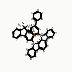 CC1(C)c2ccccc2-c2cc(-n3c4ccccc4c4ccc5c6ccccc6n(-c6cccc(-c7ccccc7)c6)c5c43)ccc21